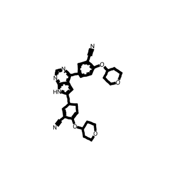 N#CC1=CC(c2cc3c(-c4ccc(OC5CCOCC5)c(C#N)c4)ncnc3[nH]2)CC=C1OC1CCOCC1